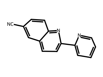 N#Cc1ccc2nc(-c3ccccn3)ccc2c1